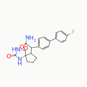 NC(=O)C(c1ccc(-c2ccc(F)cc2)cc1)C1CCCC12NC(=O)NC2=O